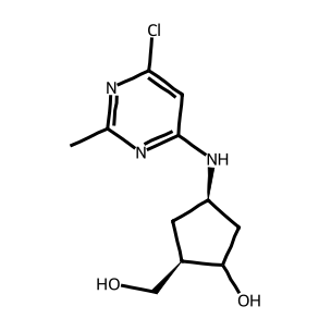 Cc1nc(Cl)cc(N[C@H]2CC(O)[C@@H](CO)C2)n1